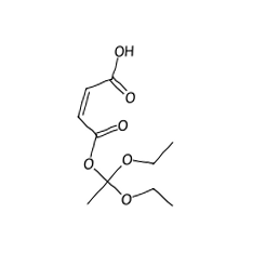 CCOC(C)(OCC)OC(=O)/C=C\C(=O)O